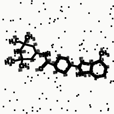 Cc1cccc2[nH]c(-c3ccc(C(=O)NC4CC(C)(C)NC(C)(C)C4)cc3)nc12